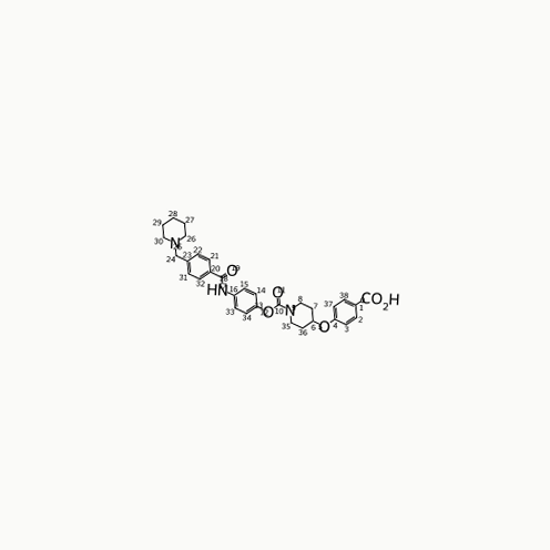 O=C(O)c1ccc(OC2CCN(C(=O)Oc3ccc(NC(=O)c4ccc(CN5CCCCC5)cc4)cc3)CC2)cc1